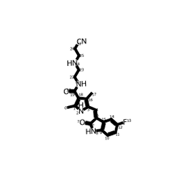 Cc1[nH]c(/C=C2\C(=O)Nc3ccc(F)cc32)c(C)c1C(=O)NCCNCCC#N